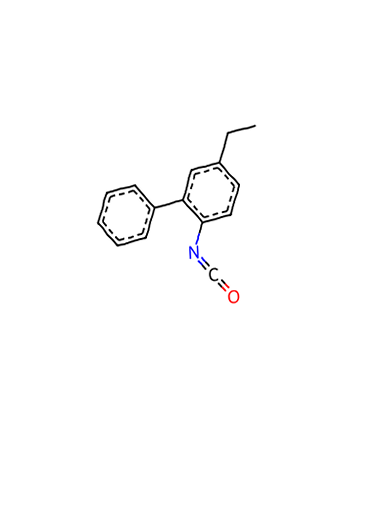 CCc1ccc(N=C=O)c(-c2ccccc2)c1